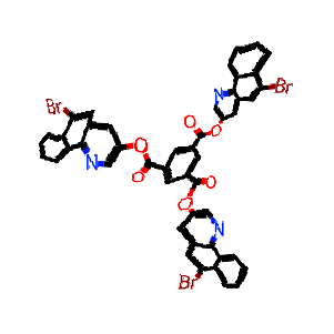 O=C(Oc1cnc2c(c1)cc(Br)c1ccccc12)c1cc(C(=O)Oc2cnc3c(c2)cc(Br)c2ccccc23)cc(C(=O)Oc2cnc3c(c2)cc(Br)c2ccccc23)c1